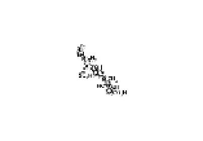 CCSc1nnc(N=Nc2cc(OCCCS(=O)(=O)O)c(N=Nc3ccc4cc(N=Nc5c(C)nn(-c6cccc(C(=O)O)c6O)c5O)ccc4c3O)cc2C)s1